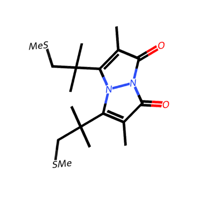 CSCC(C)(C)c1c(C)c(=O)n2c(=O)c(C)c(C(C)(C)CSC)n12